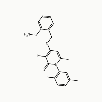 Cc1ccc(C)c(-n2c(C)cc(OCc3ccccc3CN)c(I)c2=O)c1